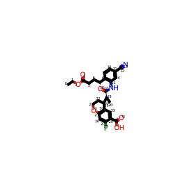 CCOC(=O)CCCc1ccc(C#N)cc1NC(=O)[C@@H]1C[C@]12CCOc1cc(F)c(C(=O)O)cc12